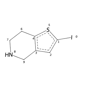 Ic1cc2c(s1)CCNC2